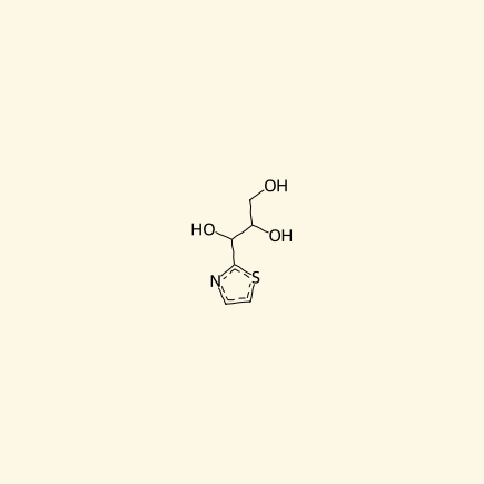 OCC(O)C(O)c1nccs1